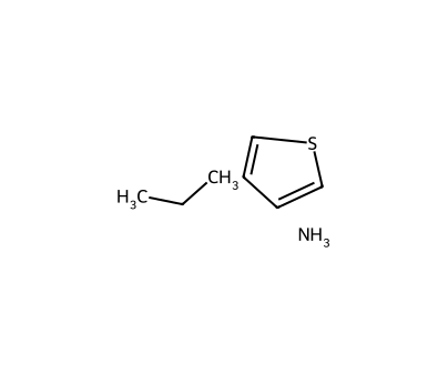 CCC.N.c1ccsc1